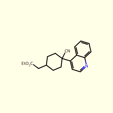 CCOC(=O)CC1CCC(C#N)(c2ccnc3ccccc23)CC1